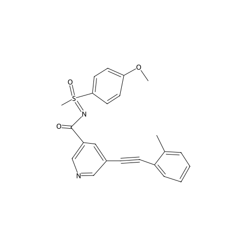 COc1ccc(S(C)(=O)=NC(=O)c2cncc(C#Cc3ccccc3C)c2)cc1